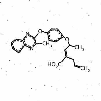 C=CCC(=CC(C)Oc1ccc(Oc2nc3ccccc3nc2C)cc1)C(=O)O